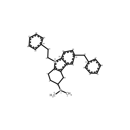 CN(C)C1CCc2c(c3cc(Cc4ccccc4)ccc3n2CCc2ccccc2)C1